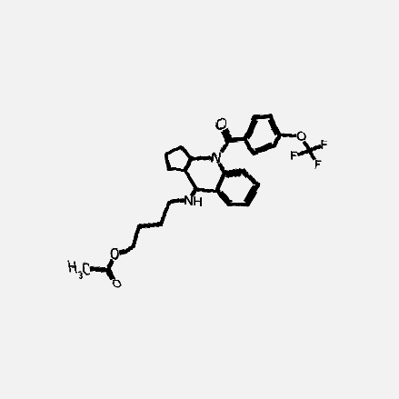 CC(=O)OCCCCNC1c2ccccc2N(C(=O)c2ccc(OC(F)(F)F)cc2)C2CCCC12